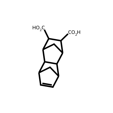 O=C(O)C1C2CC(C1C(=O)O)C1C3C=CC(C3)C21